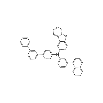 c1ccc(-c2cccc(-c3ccc(N(c4cccc(-c5cccc6ccccc56)c4)c4ccc5sc6ccccc6c5c4)cc3)c2)cc1